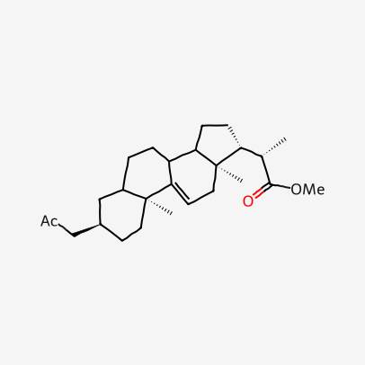 COC(=O)[C@@H](C)[C@H]1CCC2C3CCC4C[C@H](CC(C)=O)CC[C@]4(C)C3=CC[C@@]21C